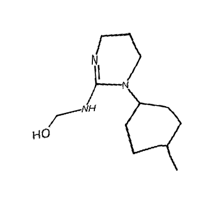 CC1CCC(N2CCCN=C2NCO)CC1